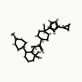 CC(C)N1CCN(C2CCCC(F)(F)C2NC(=O)N2CCC(C)(c3noc(C4CC4)n3)CC2)CC1